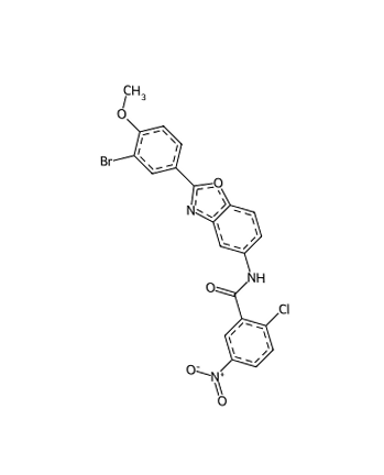 COc1ccc(-c2nc3cc(NC(=O)c4cc([N+](=O)[O-])ccc4Cl)ccc3o2)cc1Br